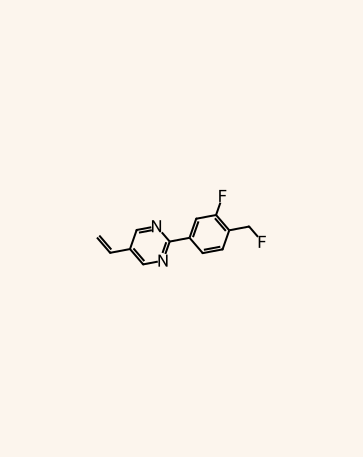 C=Cc1cnc(-c2ccc(CF)c(F)c2)nc1